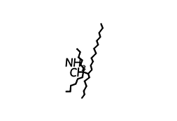 CCCCCCCCCCCCC(CCCCCC)C(Cl)(CCCCCC)CCCCCC.N